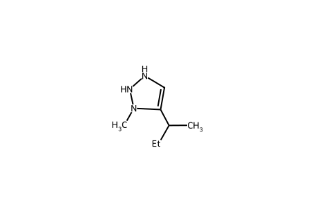 CCC(C)C1=CNNN1C